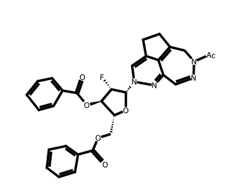 CC(=O)N1CC2=C3C(=CN([C@@H]4O[C@H](COC(=O)c5ccccc5)[C@@H](OC(=O)c5ccccc5)[C@@H]4F)N=C3C=N1)CC2